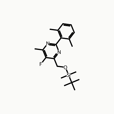 Cc1cccc(C)c1-c1nc(C)c(F)c(CO[Si](C)(C)C(C)(C)C)n1